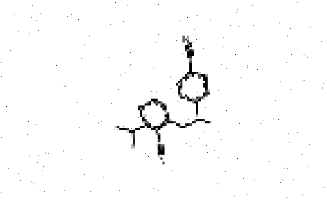 CC(C)c1cccc(CC(C)c2ccc(C#N)cc2)c1C#N